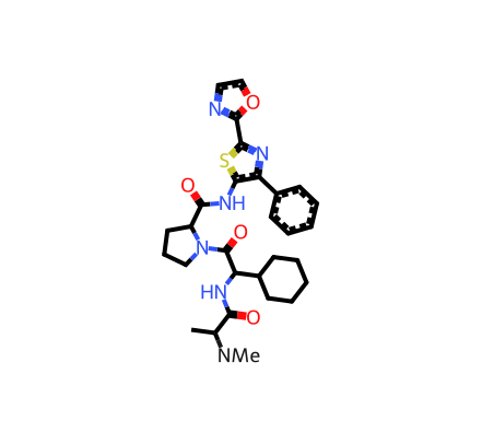 CNC(C)C(=O)NC(C(=O)N1CCCC1C(=O)Nc1sc(-c2ncco2)nc1-c1ccccc1)C1CCCCC1